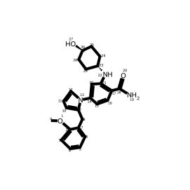 COc1ccccc1Cc1cccn1-c1ccc(C(N)=O)c(N[C@H]2CC[C@H](O)CC2)c1